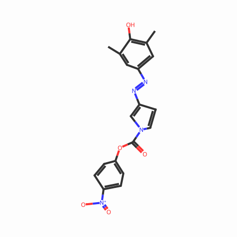 Cc1cc(/N=N/c2ccn(C(=O)Oc3ccc([N+](=O)[O-])cc3)c2)cc(C)c1O